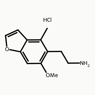 COc1cc2occc2c(C)c1CCN.Cl